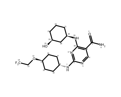 NC(=O)c1cnc(N[C@H]2CC[C@H](OCC(F)(F)F)CC2)nc1N[C@@H]1CCC[C@H](O)C1